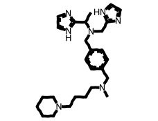 CC(c1ncc[nH]1)N(Cc1ccc(CN(C)CCCCN2CCCCC2)cc1)Cc1ncc[nH]1